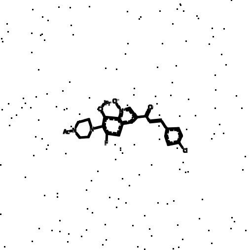 CC(=O)N1CCN(c2c(F)cc3cc(C(=O)C=Cc4ccc(Cl)cc4)c[n+]([O-])c3c2OC(C)C)CC1